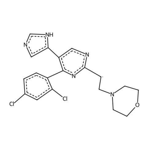 Clc1ccc(-c2nc([CH]CN3CCOCC3)ncc2-c2cnc[nH]2)c(Cl)c1